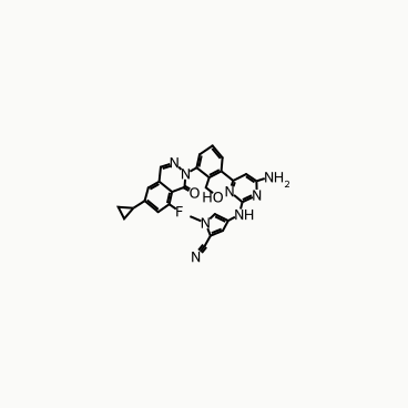 Cn1cc(Nc2nc(N)cc(-c3cccc(-n4ncc5cc(C6CC6)cc(F)c5c4=O)c3CO)n2)cc1C#N